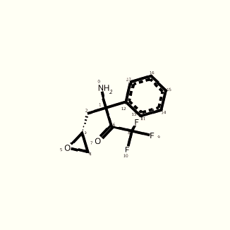 NC(C[C@@H]1CO1)(C(=O)C(F)(F)F)c1ccccc1